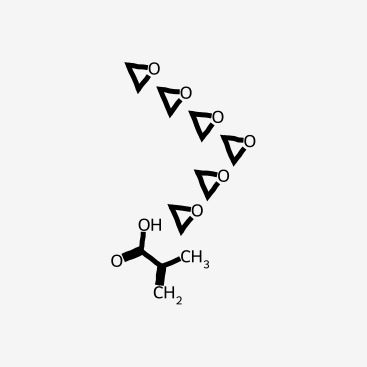 C1CO1.C1CO1.C1CO1.C1CO1.C1CO1.C1CO1.C=C(C)C(=O)O